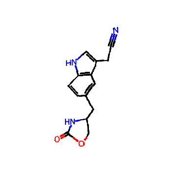 N#CCc1c[nH]c2ccc(CC3COC(=O)N3)cc12